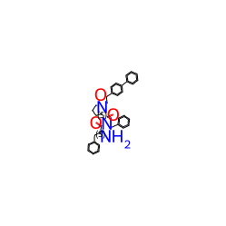 N[C@@H](Cc1ccccc1)C(=O)N(Cc1ccccc1)C(=O)[C@@H]1CCCN1CC(=O)c1ccc(-c2ccccc2)cc1